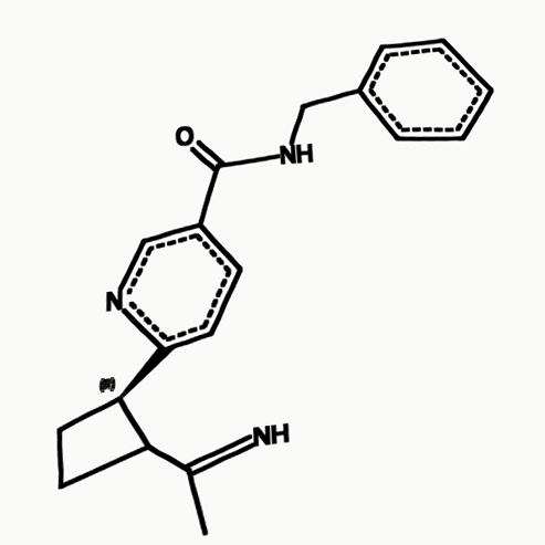 CC(=N)C1CC[C@H]1c1ccc(C(=O)NCc2ccccc2)cn1